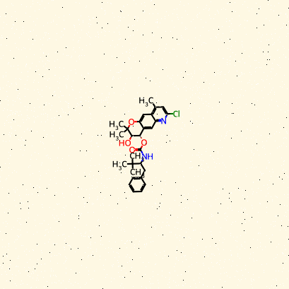 Cc1cc(Cl)nc2cc3c(cc12)OC(C)(C)[C@H](O)[C@H]3OC(=O)NC(Cc1ccccc1)C(C)(C)C